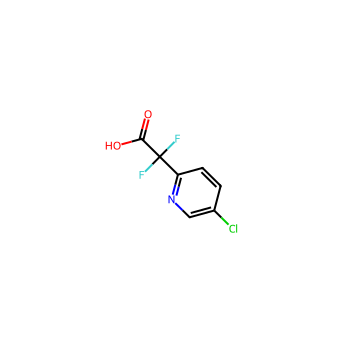 O=C(O)C(F)(F)c1ccc(Cl)cn1